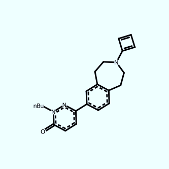 CCCCn1nc(-c2ccc3c(c2)CCN(C2=CC=C2)CC3)ccc1=O